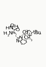 CC(C)(C)c1ccc(C(C)(C)Cn2c(CC[C@H](N)C(=O)NO)nc3ccccc32)cc1